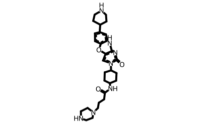 O=C(CCCN1CCNCC1)NC1CCC(n2cc3c(nc2=O)Nc2cc(C4CCNCC4)ccc2O3)CC1